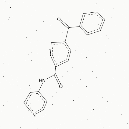 O=C(Nc1ccncc1)c1ccc(C(=O)c2ccccc2)cc1